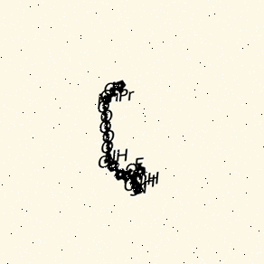 CC(C)C(C(=O)N1CCCC1C)c1cc(OCCOCCOCCOCCOCCNC(=O)c2ccc(-c3ccc4c(c3)C(=O)N(C(C(=O)Nc3nccs3)c3cc(F)ccc3O)C4)cc2)no1